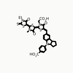 CCN1C(=O)/C(=c2\s/c(=c3/s/c(=C\c4ccc5c(c4)C4CCCC4N5c4ccc(C(=O)O)cc4)c(=O)n3CC(=O)O)c(=O)n2C)SC1=S